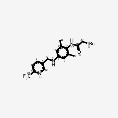 Cc1cc(NCc2ccc(C(F)(F)F)nc2)cc(C)c1NC(=O)CC(C)(C)C